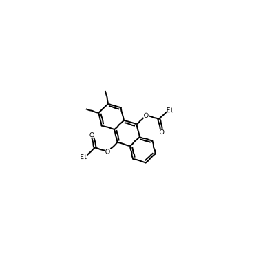 CCC(=O)Oc1c2ccccc2c(OC(=O)CC)c2cc(C)c(C)cc12